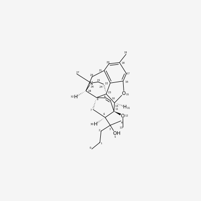 CCCC(C)(O)[C@H]1C[C@@]23C=C[C@]1(OC)[C@@H]1Oc4cc(C)cc5c4[C@@]12CCN(C)[C@@H]3C5